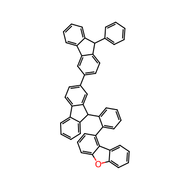 c1ccc(C2c3ccccc3-c3cc(-c4ccc5c(c4)C(c4ccccc4-c4cccc6oc7ccccc7c46)c4ccccc4-5)ccc32)cc1